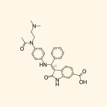 CC(=O)N(CCN(C)C)c1ccc(N/C(=C2\C(=O)Nc3cc(C(=O)O)ccc32)c2ccccc2)cc1